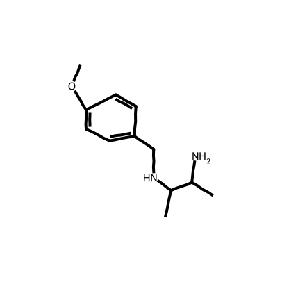 COc1ccc(CNC(C)C(C)N)cc1